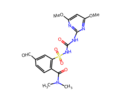 COc1cc(OC)nc(NC(=O)NS(=O)(=O)c2cc(C=O)ccc2C(=O)N(C)C)n1